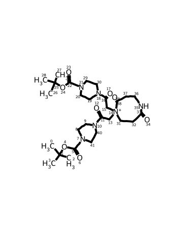 CC(C)(C)OC(=O)N1CCN(C(=O)C[N+]2(CC(=O)N3CCN(C(=O)OC(C)(C)C)CC3)CCC(=O)NCCC2=O)CC1